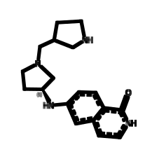 O=c1[nH]ccc2cc(N[C@H]3CCN(CC4CCNC4)C3)ccc12